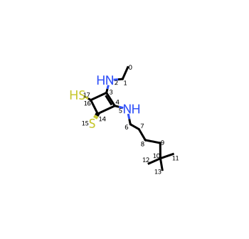 CCNC1=C(NCCCCC(C)(C)C)C(=S)C1S